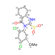 COc1cc(-n2c(=S(=O)=O)[nH]c3ccccc3c2=O)c(Cl)cc1Cl